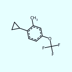 Cc1cc(OC(F)(F)F)ccc1C1CC1